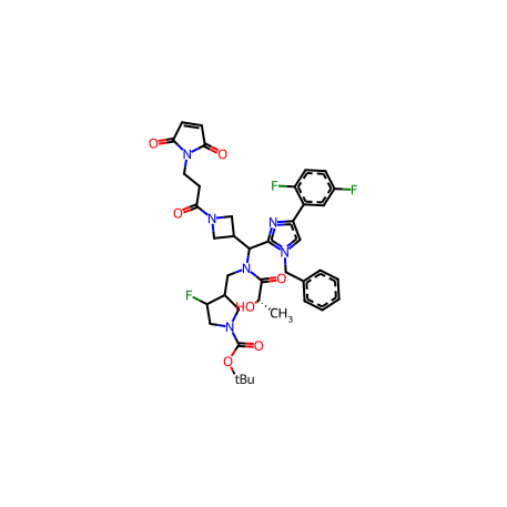 C[C@H](O)C(=O)N(CC1CN(C(=O)OC(C)(C)C)CC1F)C(c1nc(-c2cc(F)ccc2F)cn1Cc1ccccc1)C1CN(C(=O)CCN2C(=O)C=CC2=O)C1